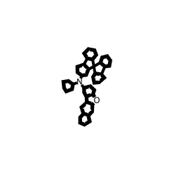 c1ccc(N(c2ccc3c(c2)C2(c4ccccc4-c4ccccc42)c2ccccc2-3)c2ccc3oc4cc5ccccc5cc4c3c2)cc1